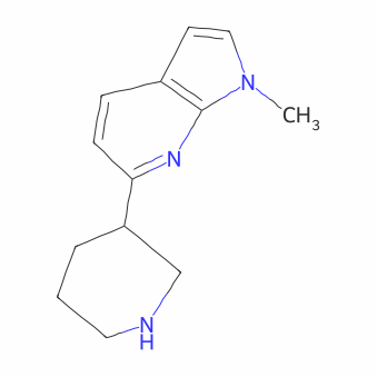 Cn1ccc2ccc(C3CCCNC3)nc21